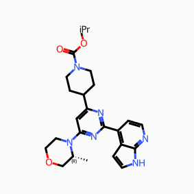 CC(C)OC(=O)N1CCC(c2cc(N3CCOC[C@H]3C)nc(-c3ccnc4[nH]ccc34)n2)CC1